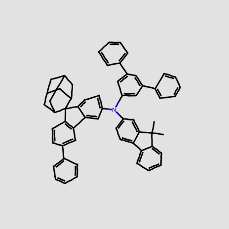 CC1(C)c2ccccc2-c2ccc(N(c3cc(-c4ccccc4)cc(-c4ccccc4)c3)c3ccc4c(c3)-c3cc(-c5ccccc5)ccc3C43C4CC5CC(C4)CC3C5)cc21